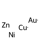 [Au].[Cu].[Ni].[Zn]